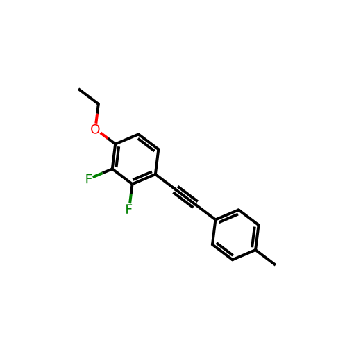 CCOc1ccc(C#Cc2ccc(C)cc2)c(F)c1F